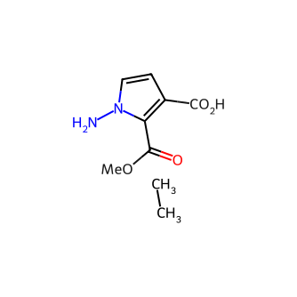 CC.COC(=O)c1c(C(=O)O)ccn1N